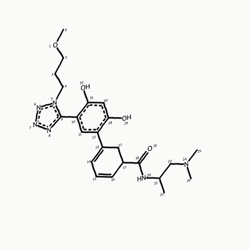 COCCCn1nnnc1-c1cc(C2=CC=CC(C(=O)NC(C)CN(C)C)C2)c(O)cc1O